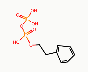 O=P(O)(O)OP(=O)(O)OCCc1ccccc1